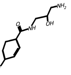 NCC(O)CNC(=O)C1C=CC(Cl)CC1